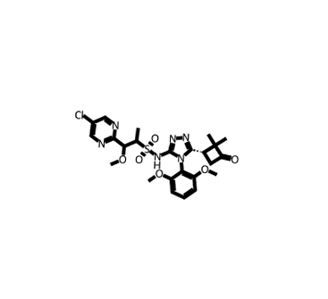 COc1cccc(OC)c1-n1c(NS(=O)(=O)C(C)C(OC)c2ncc(Cl)cn2)nnc1[C@H]1CC(=O)C1(C)C